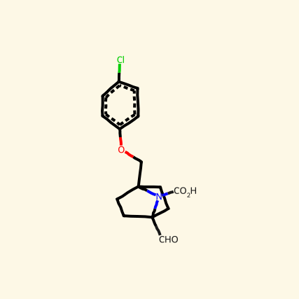 O=CC12CCC(COc3ccc(Cl)cc3)(CC1)N2C(=O)O